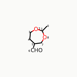 CC1OCCC(C=O)CO1